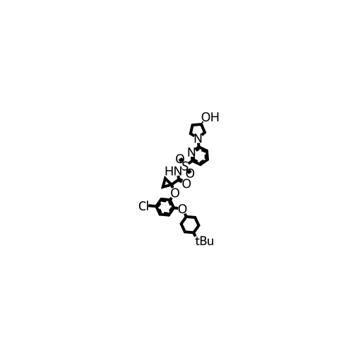 CC(C)(C)C1CCC(Oc2ccc(Cl)cc2OC2(C(=O)NS(=O)(=O)c3cccc(N4CC[C@H](O)C4)n3)CC2)CC1